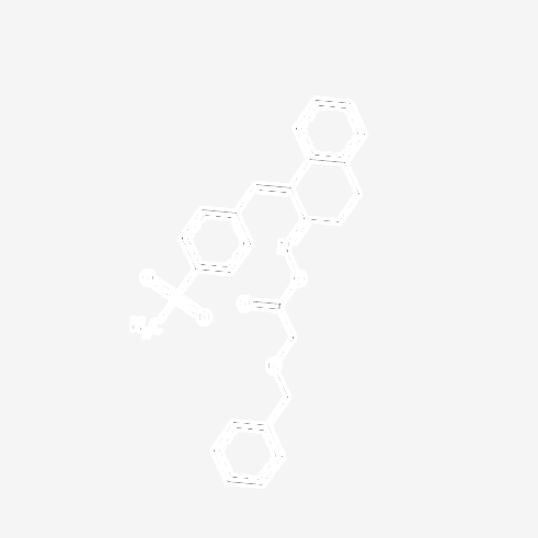 CS(=O)(=O)c1ccc(C=C2C(=NOC(=O)COCc3ccccc3)CCc3ccccc32)cc1